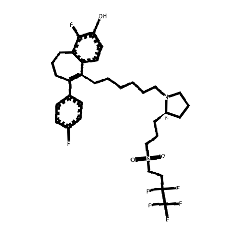 O=S(=O)(CCC[C@@H]1CCCN1CCCCCCC1=C(c2ccc(F)cc2)CCCc2c1ccc(O)c2F)CCC(F)(F)C(F)(F)F